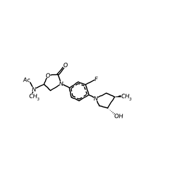 CC(=O)N(C)C1CN(c2ccc(N3C[C@@H](C)[C@H](O)C3)c(F)c2)C(=O)O1